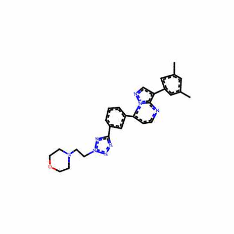 Cc1cc(C)cc(-c2cnn3c(-c4cccc(-c5nnn(CCN6CCOCC6)n5)c4)ccnc23)c1